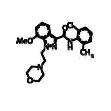 COc1cccc2c(C(=O)Nc3c(C)cccc3Cl)nn(CCN3CCOCC3)c12